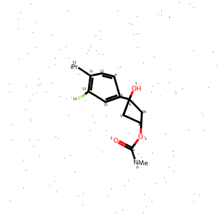 CNC(=O)OC1CC(O)(c2ccc(C(C)C)c(F)c2)C1